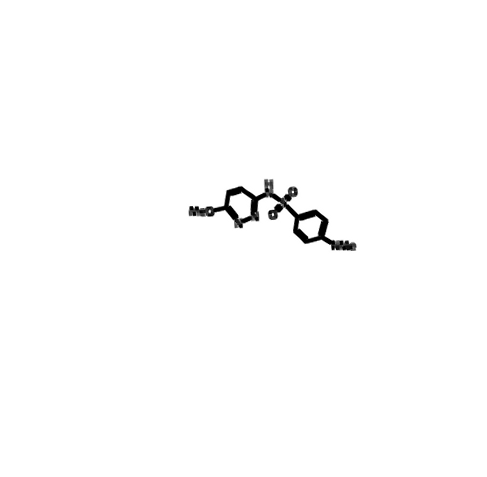 CNc1ccc(S(=O)(=O)Nc2ccc(OC)nn2)cc1